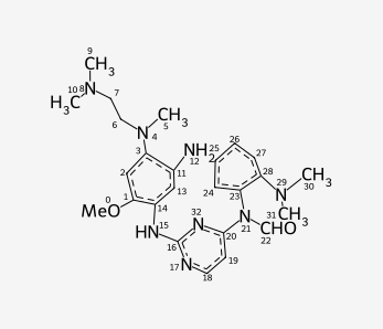 COc1cc(N(C)CCN(C)C)c(N)cc1Nc1nccc(N(C=O)c2ccccc2N(C)C)n1